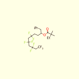 CCC(C)(C)C(=O)OC(CCC(F)(F)CC(F)(F)CC(F)(F)CC(F)(F)F)CC(C)C